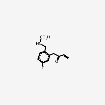 C=CC(=O)Cc1cc(F)ccc1CNC(=O)O